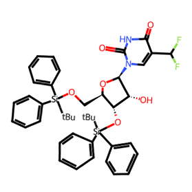 CC(C)(C)[Si](OC[C@H]1O[C@@H](n2cc(C(F)F)c(=O)[nH]c2=O)[C@H](O)[C@@H]1O[Si](c1ccccc1)(c1ccccc1)C(C)(C)C)(c1ccccc1)c1ccccc1